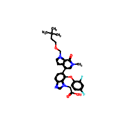 Cn1cc(-c2ccc3ncn(CC(=O)O)c3c2Oc2ccc(F)cc2F)c2ccn(COCC[Si](C)(C)C)c2c1=O